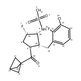 CS(=O)(=O)N[C@H]1[C@@H](F)CN(C(=O)C23CC(C2)C3)[C@H]1Cc1cccc(Cl)c1F